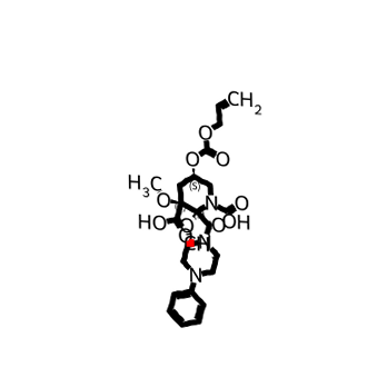 C=CCOC(=O)O[C@@H]1CN(C(=O)O)[C@@](OC)(C(=O)N2CCN(c3ccccc3)CC2)[C@](OC)(C(=O)O)C1